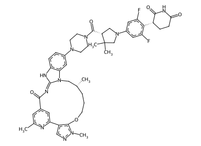 Cc1cc2cc(n1)-c1cnn(C)c1OCCC[C@@H](C)CN1/C(=N/C2=O)Nc2ccc(N3CCN(C(=O)[C@@H]4CN(c5cc(F)c([C@H]6CCC(=O)NC6=O)c(F)c5)CC4(C)C)CC3)cc21